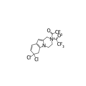 O=C(C(F)(F)F)[N+]1(C(=O)C(F)(F)F)CCn2c(cc3c2CC(Cl)(Cl)C=C3)C1